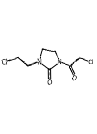 O=C(CCl)N1CCN(CCCl)C1=O